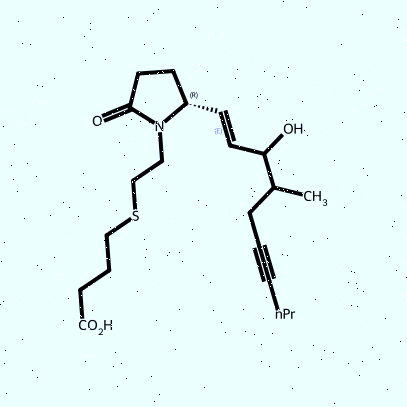 CCCC#CCC(C)C(O)/C=C/[C@H]1CCC(=O)N1CCSCCCC(=O)O